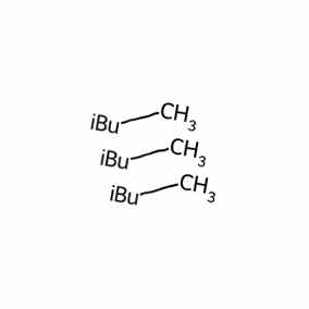 CCC(C)C.CCC(C)C.CCC(C)C